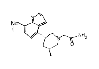 C/N=C\c1ccc([C@H]2C[C@H](C)CN(CC(N)=O)C2)c2cccnc12